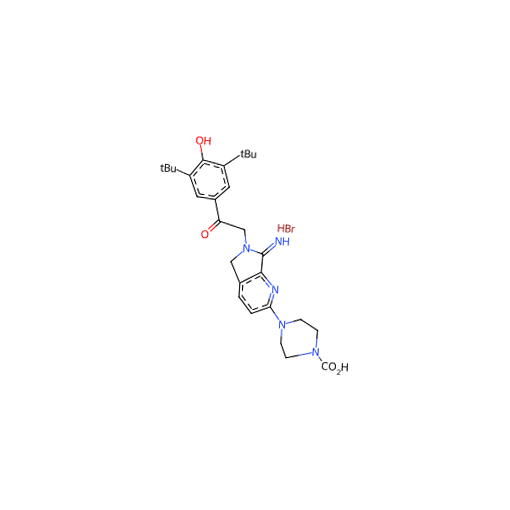 Br.CC(C)(C)c1cc(C(=O)CN2Cc3ccc(N4CCN(C(=O)O)CC4)nc3C2=N)cc(C(C)(C)C)c1O